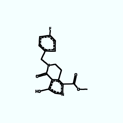 COC(=O)c1ncc(O)c2c1CCN(Cc1ccc(F)cc1)C2=O